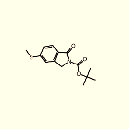 CSc1ccc2c(c1)CN(C(=O)OC(C)(C)C)C2=O